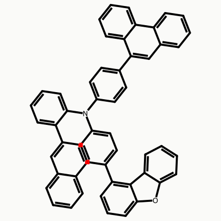 c1ccc(N(c2ccc(-c3cc4ccccc4c4ccccc34)cc2)c2ccc(-c3cccc4oc5ccccc5c34)cc2)c(-c2ccc3ccccc3c2)c1